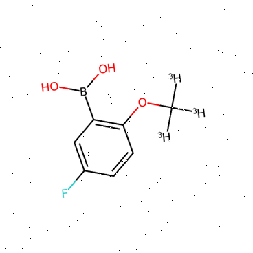 [3H]C([3H])([3H])Oc1ccc(F)cc1B(O)O